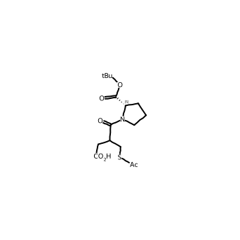 CC(=O)SCC(CC(=O)O)C(=O)N1CCC[C@H]1C(=O)OC(C)(C)C